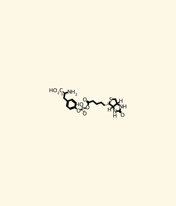 N[C@@H](Cc1ccc(OP(=O)(O)OC(=O)CCCC[C@@H]2SC[C@@H]3NC(=O)N[C@@H]32)cc1)C(=O)O